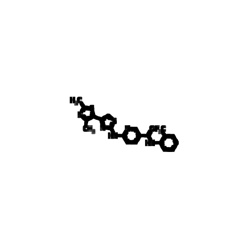 Cc1nc(C)c(-c2csc(Nc3ccc(C(=O)Nc4ccccc4C(F)(F)F)cn3)n2)s1